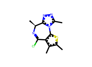 Cc1sc2c(c1C)C(Cl)=N[C@@H](C)c1nnc(C)n1-2